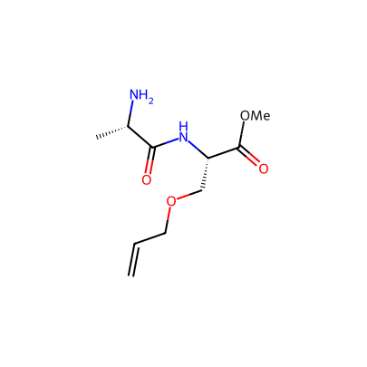 C=CCOC[C@H](NC(=O)[C@H](C)N)C(=O)OC